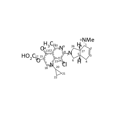 CN[C@@H]1C=CC[C@@H]2CN(c3nc(C)c4c(=O)c(OC(=O)O)cn(C5CC5)c4c3Cl)C[C@@H]21